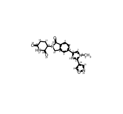 Cn1cc(-c2ccc3c(c2)CN(C2CCC(=O)NC2=O)C3=O)nc1-c1cnoc1